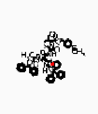 COc1ccc(COC(=O)C2=C(CCl)CSC3[C@H](NC(=O)/C(=N\O[C@@H](C)C(=O)OC(c4ccccc4)c4ccccc4)c4csc(NC(c5ccccc5)(c5ccccc5)c5ccccc5)n4)C(=O)N23)cc1